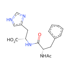 CC(=O)N[C@@H](Cc1ccccc1)C(=O)N[C@@H](Cc1c[nH]cn1)C(=O)O